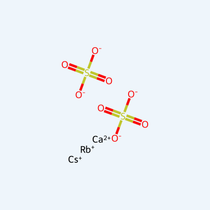 O=S(=O)([O-])[O-].O=S(=O)([O-])[O-].[Ca+2].[Cs+].[Rb+]